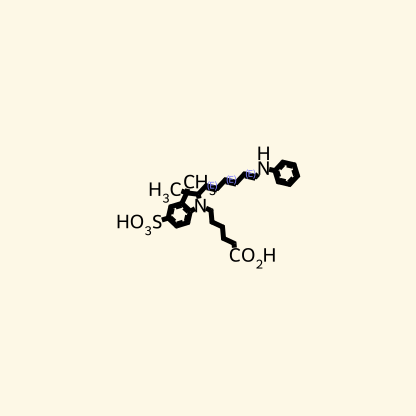 CC1(C)c2cc(S(=O)(=O)O)ccc2N(CCCCCC(=O)O)C1/C=C/C=C/C=C/Nc1ccccc1